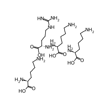 N=C(N)NCCC[C@H](N)C(=O)O.NCCCC[C@H](N)C(=O)O.NCCCC[C@H](N)C(=O)O.NCCCC[C@H](N)C(=O)O